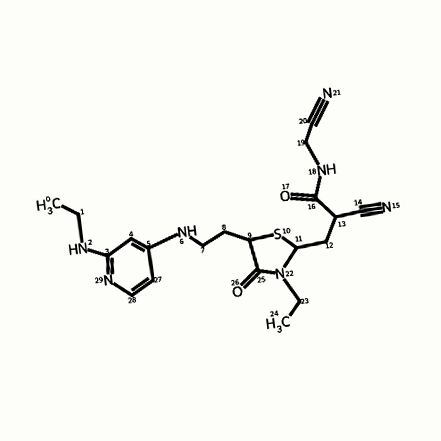 CCNc1cc(NCCC2SC(CC(C#N)C(=O)NCC#N)N(CC)C2=O)ccn1